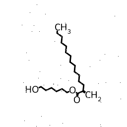 C=C(CCCCCCCCCCCCC)C(=O)OCCCCCCO